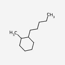 CCCCCC1CCCC[C]1C